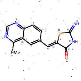 CNc1ncnc2ccc(/C=C3\SC(=N)NC3=O)cc12